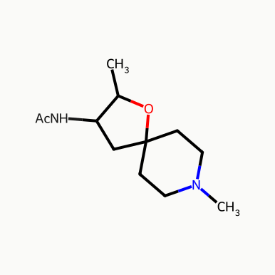 CC(=O)NC1CC2(CCN(C)CC2)OC1C